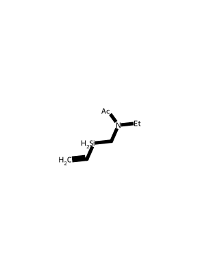 C=C[SiH2]CN(CC)C(C)=O